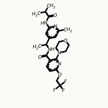 Cc1cc(C(C)NC(=O)c2ccc(OCC(F)(F)F)nc2N2CCOCC2)cc(NC(=O)C(C)C)n1